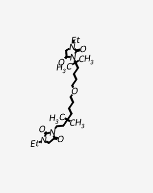 CCN1CC(=O)N(CCC(C)(C)CCCCOCCCCC(C)(C)N2C(=O)CN(CC)C2=O)C1=O